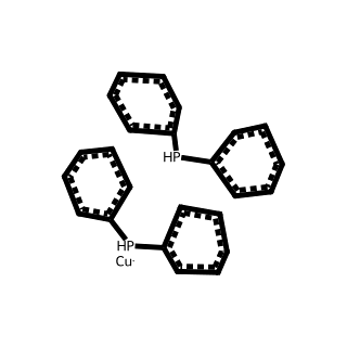 [Cu].c1ccc(Pc2ccccc2)cc1.c1ccc(Pc2ccccc2)cc1